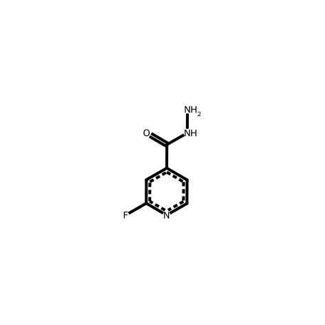 NNC(=O)c1ccnc(F)c1